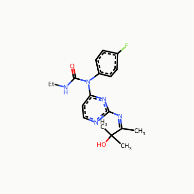 CCNC(=O)N(c1ccc(F)cc1)c1ccnc(N=C(C)C(C)(C)O)n1